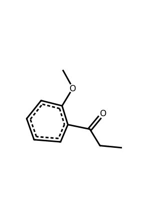 CCC(=O)c1ccccc1OC